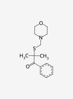 CC(C)(SCN1CCOCC1)C(=O)c1ccccc1